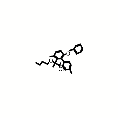 CCCCOC(C)(C(=O)O)c1c(C)ccc(OCc2ccccc2)c1-c1ccc(C)cc1